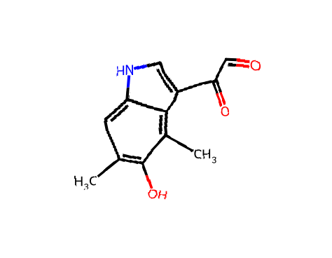 Cc1cc2[nH]cc(C(=O)C=O)c2c(C)c1O